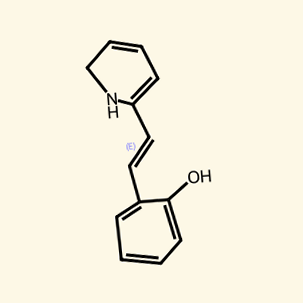 Oc1ccccc1/C=C/C1=CC=CCN1